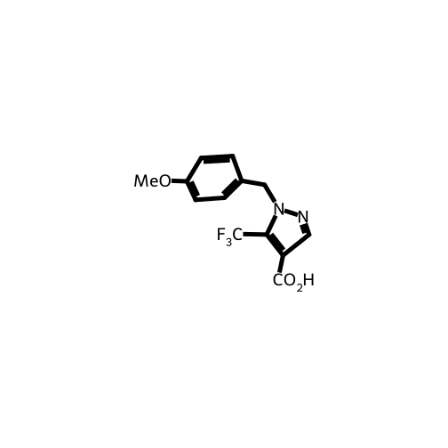 COc1ccc(Cn2ncc(C(=O)O)c2C(F)(F)F)cc1